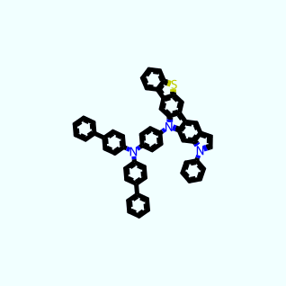 c1ccc(-c2ccc(N(c3ccc(-c4ccccc4)cc3)c3ccc(-n4c5cc6c(cc5c5cc7ccn(-c8ccccc8)c7cc54)sc4ccccc46)cc3)cc2)cc1